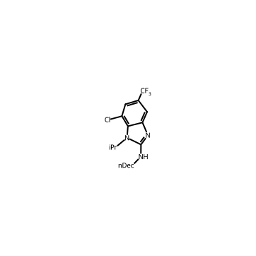 CCCCCCCCCCNc1nc2cc(C(F)(F)F)cc(Cl)c2n1C(C)C